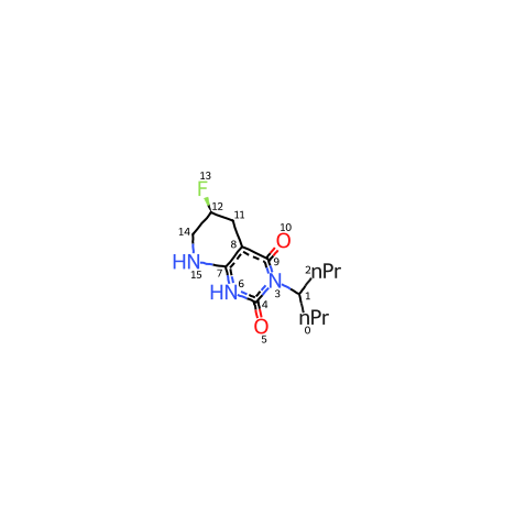 CCCC(CCC)n1c(=O)[nH]c2c(c1=O)C[C@H](F)CN2